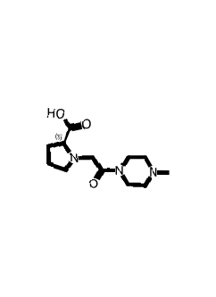 CN1CCN(C(=O)CN2CCC[C@H]2C(=O)O)CC1